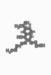 CN=NCN=Nc1c(SOOO)cc2ccc(N(C)C)cc2c1O